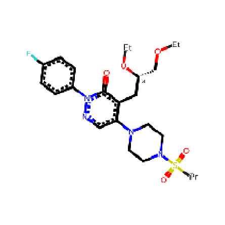 CCOC[C@H](Cc1c(N2CCN(S(=O)(=O)C(C)C)CC2)cnn(-c2ccc(F)cc2)c1=O)OCC